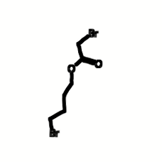 O=C(CBr)OCCCCBr